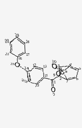 O=C(C1=CC2=CC=C1S2(=O)=O)c1ccc(Oc2ccccc2)cc1